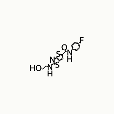 O=C(Nc1ccc(F)cc1)c1cc2sc(NCCO)nc2s1